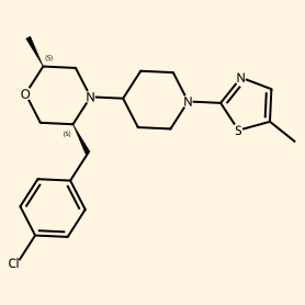 Cc1cnc(N2CCC(N3C[C@H](C)OC[C@@H]3Cc3ccc(Cl)cc3)CC2)s1